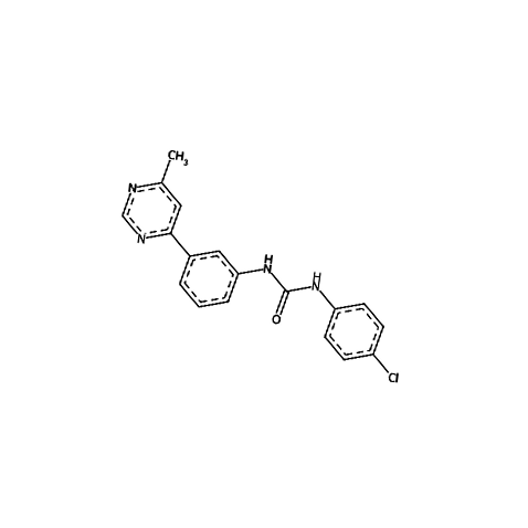 Cc1cc(-c2cccc(NC(=O)Nc3ccc(Cl)cc3)c2)ncn1